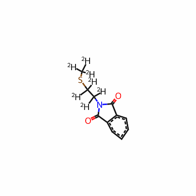 [2H]C([2H])([2H])SC([2H])([2H])C([2H])([2H])N1C(=O)c2ccccc2C1=O